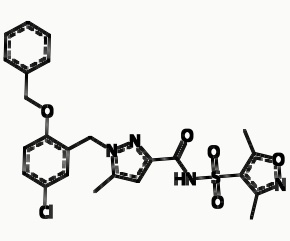 Cc1noc(C)c1S(=O)(=O)NC(=O)c1cc(C)n(Cc2cc(Cl)ccc2OCc2ccccc2)n1